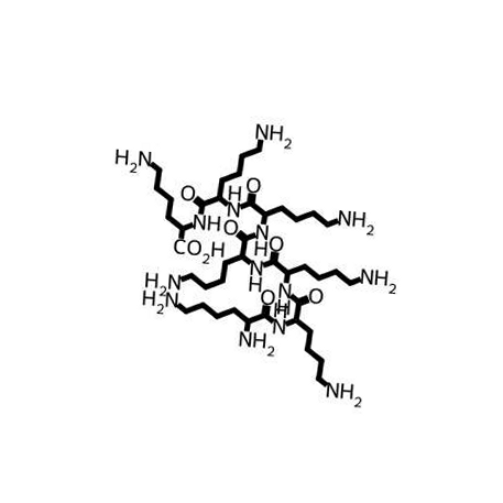 NCCCCC(N)C(=O)NC(CCCCN)C(=O)NC(CCCCN)C(=O)NC(CCCCN)C(=O)NC(CCCCN)C(=O)NC(CCCCN)C(=O)NC(CCCCN)C(=O)O